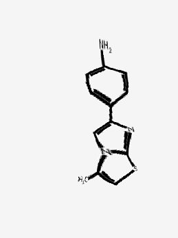 Cc1csc2nc(-c3ccc(N)cc3)cn12